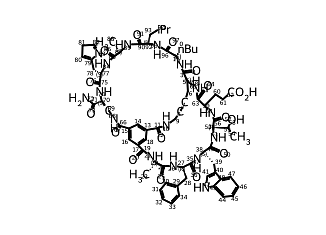 CCCC[C@@H]1NC(=O)[C@@H]2CCCCNC(=O)c3cc(cc(c3)C(=O)N[C@@H](C)C(=O)N[C@H](Cc3ccccc3)C(=O)N[C@@H](Cc3c[nH]c4ccccc34)C(=O)N[C@H](C(C)O)C(=O)NC(CCC(=O)O)C(=O)N2)C(=O)NC[C@@H](C(N)=O)NC(=O)[C@H](CC2=CCC=N2)NC(=O)[C@H](C)NC(=O)[C@@H](CC(C)C)NC1=O